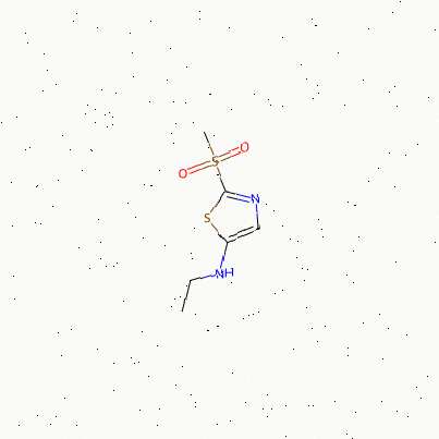 CCNc1cnc(S(C)(=O)=O)s1